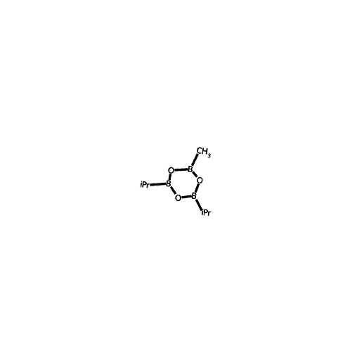 CB1OB(C(C)C)OB(C(C)C)O1